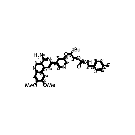 COc1cc2ncc3c(N)nc(-c4cncc(OC(COC(=O)NCc5ccc(F)cc5)C(C)(C)C)c4)cc3c2cc1OC